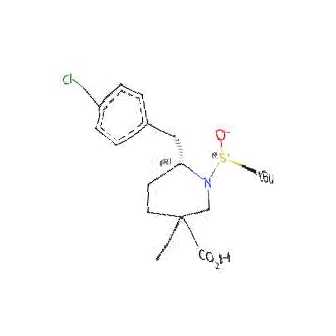 CC1(C(=O)O)CC[C@H](Cc2ccc(Cl)cc2)N([S@@+]([O-])C(C)(C)C)C1